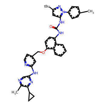 Cc1ccc(-n2nc(C(C)(C)C)cc2NC(=O)Nc2ccc(OCc3ccnc(Nc4cnc(C)c(C5CC5)n4)c3)c3ccccc23)cc1